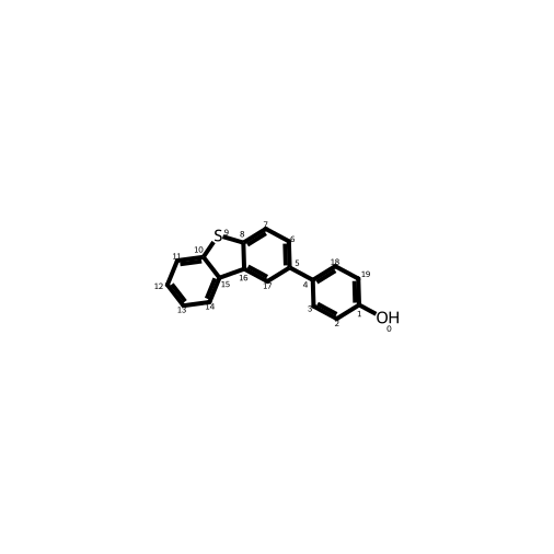 Oc1ccc(-c2ccc3sc4ccccc4c3c2)cc1